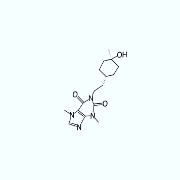 Cn1cnc2c1c(=O)n(CC[C@H]1CC[C@](C)(O)CC1)c(=O)n2C